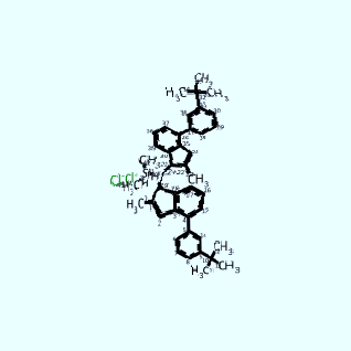 CC1=Cc2c(-c3cccc(C(C)(C)C)c3)cccc2[CH]1[Hf+2]([CH]1C(C)=Cc2c(-c3cccc(C(C)(C)C)c3)cccc21)[SiH](C)C.[Cl-].[Cl-]